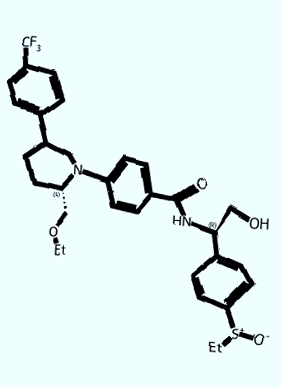 CCOC[C@@H]1CCC(c2ccc(C(F)(F)F)cc2)CN1c1ccc(C(=O)N[C@@H](CO)c2ccc([S+]([O-])CC)cc2)cc1